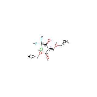 CCO/C=C(/C(=O)OCC)C(=O)C(F)(F)Cl